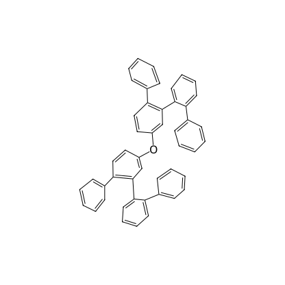 c1ccc(-c2ccccc2-c2cc(Oc3ccc(-c4ccccc4)c(-c4ccccc4-c4ccccc4)c3)ccc2-c2ccccc2)cc1